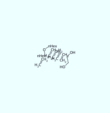 C=C.C=C.C=C.C=C.C=C.CCCCCCOCCCCCC.OCCO